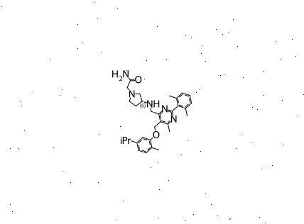 Cc1ccc(C(C)C)cc1OCc1c(C)nc(-c2c(C)cccc2C)nc1CN[C@H]1CCN(CC(N)=O)C1